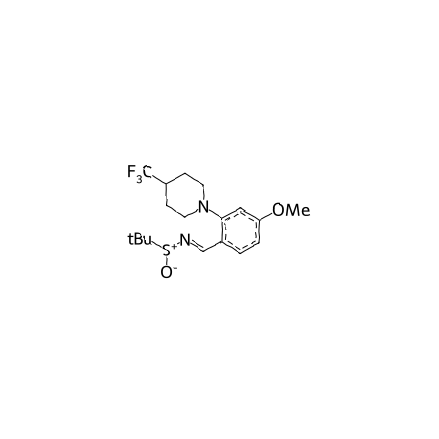 COc1ccc(C=N[S+]([O-])C(C)(C)C)c(N2CCC(C(F)(F)F)CC2)c1